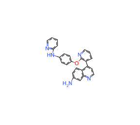 Nc1ccc2c(-c3cccnc3Oc3ccc(Nc4ccccn4)cc3)ccnc2c1